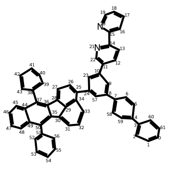 c1ccc(-c2ccc(-c3cc(-c4ccc(-c5ccccn5)nc4)cc(-c4ccc5c6c(cccc46)-c4c-5c(-c5ccccc5)c5ccccc5c4-c4ccccc4)c3)cc2)cc1